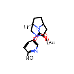 CC(C)(C)OC(=O)N1C2CC[C@@H]1CN(c1ccc(N=O)nc1)C(=O)C2